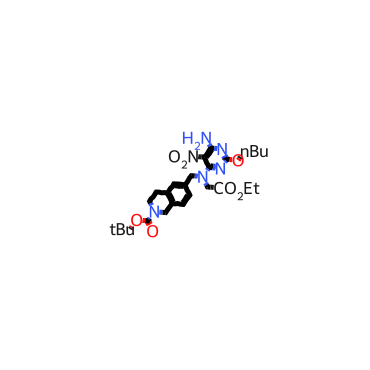 CCCCOc1nc(N)c([N+](=O)[O-])c(N(CC(=O)OCC)Cc2ccc3c(c2)CCN(C(=O)OC(C)(C)C)C3)n1